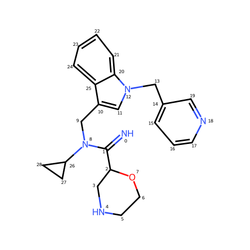 N=C(C1CNCCO1)N(Cc1cn(Cc2cccnc2)c2ccccc12)C1CC1